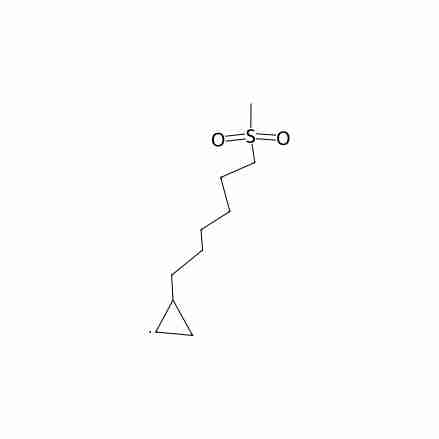 CS(=O)(=O)CCCCCCC1[CH]C1